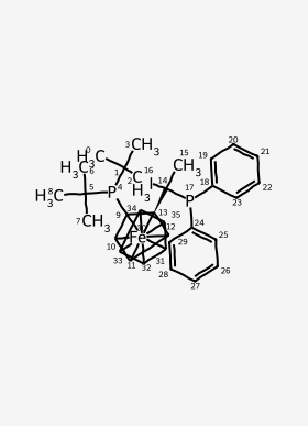 CC(C)(C)P(C(C)(C)C)[C]12[CH]3[CH]4[CH]5[C@]1(C(C)(I)P(c1ccccc1)c1ccccc1)[Fe]43521678[CH]2[CH]1[CH]6[CH]7[CH]28